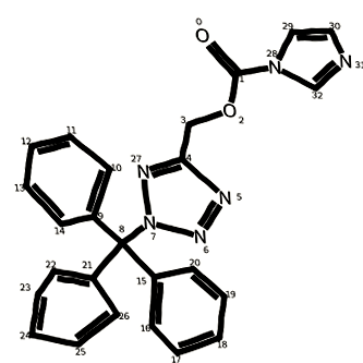 O=C(OCc1nnn(C(c2ccccc2)(c2ccccc2)c2ccccc2)n1)n1ccnc1